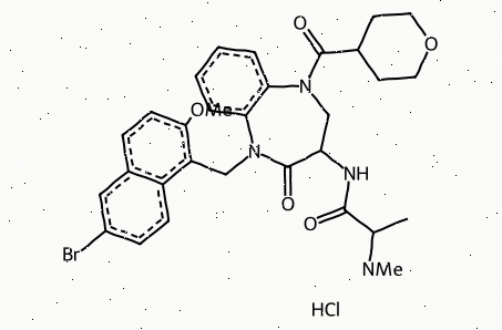 CNC(C)C(=O)NC1CN(C(=O)C2CCOCC2)c2ccccc2N(Cc2c(OC)ccc3cc(Br)ccc23)C1=O.Cl